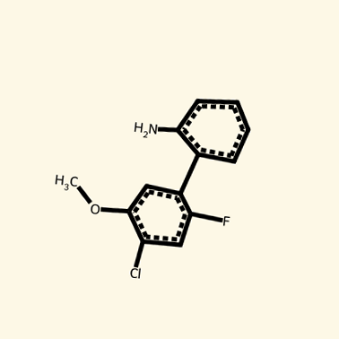 COc1cc(-c2ccccc2N)c(F)cc1Cl